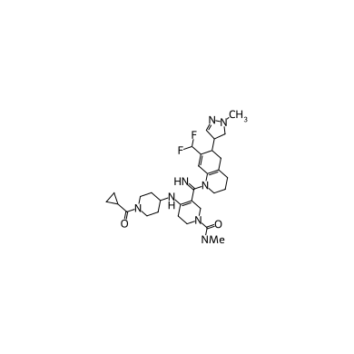 CNC(=O)N1CCC(NC2CCN(C(=O)C3CC3)CC2)=C(C(=N)N2CCCC3=C2C=C(C(F)F)C(C2C=NN(C)C2)C3)C1